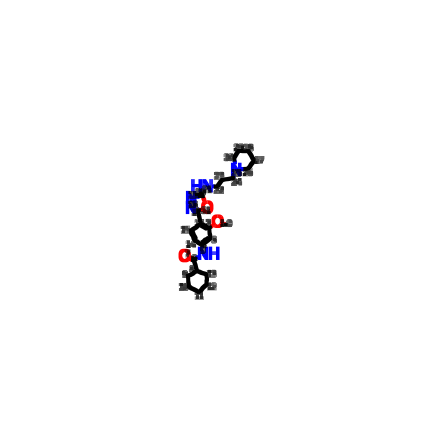 COc1cc(NC(=O)C2CCCCC2)ccc1-c1nnc(NCCCN2CCCCC2)o1